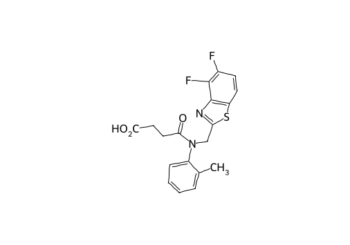 Cc1ccccc1N(Cc1nc2c(F)c(F)ccc2s1)C(=O)CCC(=O)O